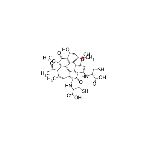 COc1c2c3c4c(c(NC(CS)C(=O)O)c(=O)c5c(NC(CS)C(=O)O)cc(OC)c(c6c(OC)cc(O)c(c1=O)c63)c54)C=C(C)C2C(C)=O